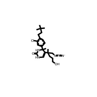 CC(C)(C)CCc1ccc(C2(C)NC(=O)NC=C2C(C)(CCCO)CN=[N+]=[N-])cc1Cl